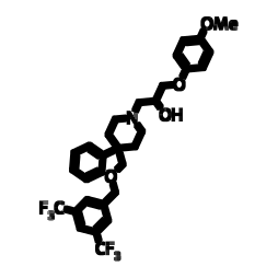 COc1ccc(OCC(O)CN2CCC(COCc3cc(C(F)(F)F)cc(C(F)(F)F)c3)(c3ccccc3)CC2)cc1